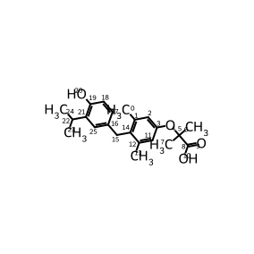 Cc1cc(OC(C)(C)C(=O)O)cc(C)c1Cc1ccc(O)c(C(C)C)c1